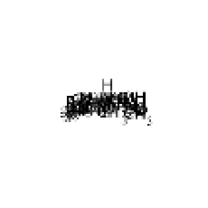 C[C@@H]1CN(c2ccc(Nc3cc(-c4ccnc(-n5ccn6c(c(F)c7ccccc76)c5=O)c4CO)cn(C)c3=O)nc2)[C@@](C)(O)CN1C1COC1